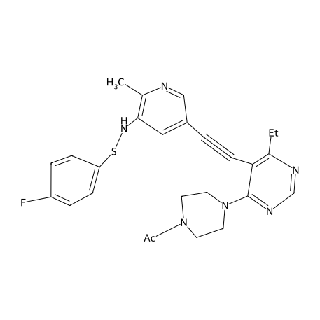 CCc1ncnc(N2CCN(C(C)=O)CC2)c1C#Cc1cnc(C)c(NSc2ccc(F)cc2)c1